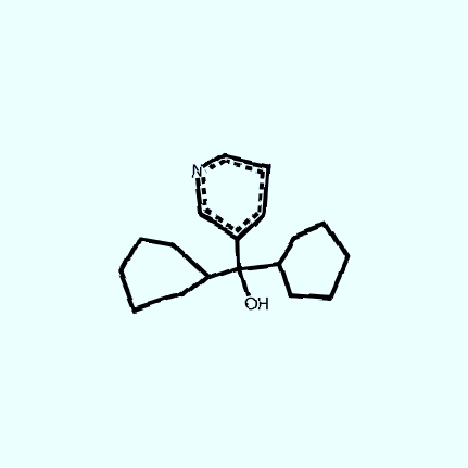 OC(c1cccnc1)(C1CCCCC1)C1CCCCC1